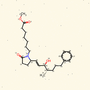 COC(=O)CCCCCCN1C(=O)CCC1C=C[C@@H](O)[C@@H](C)CCCc1ccccc1